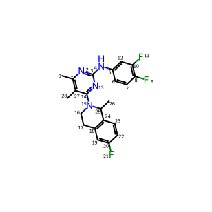 Cc1nc(Nc2ccc(F)c(F)c2)nc(N2CCc3cc(F)ccc3C2C)c1C